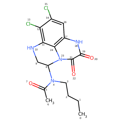 CCCCN(C(C)=O)C1CNc2c(Cl)c(Cl)cc3[nH]c(=O)c(=O)n1c23